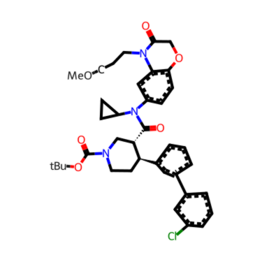 COCCCN1C(=O)COc2ccc(N(C(=O)[C@H]3CN(C(=O)OC(C)(C)C)CC[C@@H]3c3cccc(-c4cccc(Cl)c4)c3)C3CC3)cc21